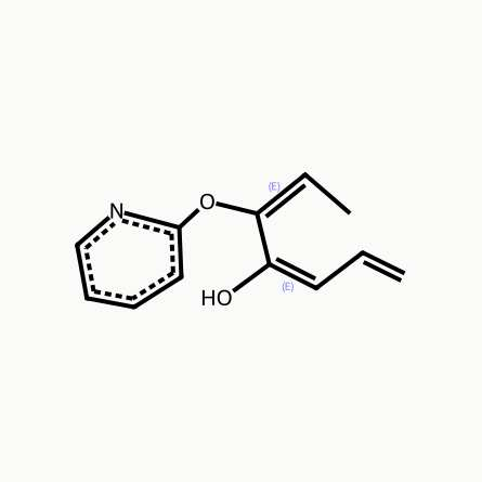 C=C/C=C(O)\C(=C/C)Oc1ccccn1